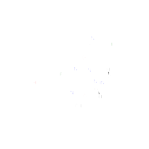 CCc1cccc2cc(O)cc(-c3nc4c5c(nc(OC[C@]67CCCN6C[C@H](F)C7)nc5c3F)N3C[C@@H]5CCC(N5)[C@@H]3CO4)c12